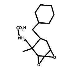 CC1(C)C(CC2CCCCC2)CC2OC23OC13.NC(=O)O